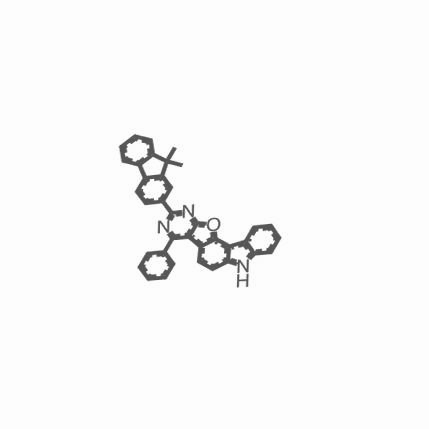 CC1(C)c2ccccc2-c2ccc(-c3nc(-c4ccccc4)c4c(n3)oc3c4ccc4[nH]c5ccccc5c43)cc21